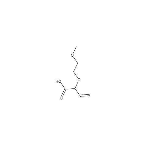 C=CC(OCCOC)C(=O)O